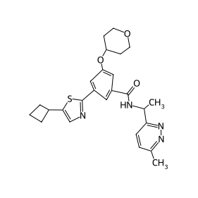 Cc1ccc(C(C)NC(=O)c2cc(OC3CCOCC3)cc(-c3ncc(C4CCC4)s3)c2)nn1